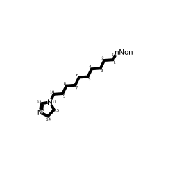 CCCCCCCCCCCCCCCCCCCN1C=NCC1